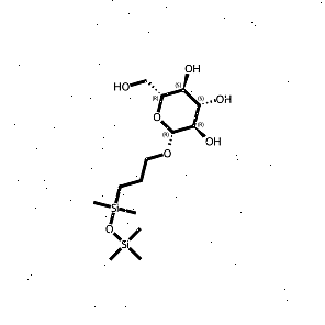 C[Si](C)(C)O[Si](C)(C)CCCO[C@@H]1O[C@H](CO)[C@@H](O)[C@H](O)[C@H]1O